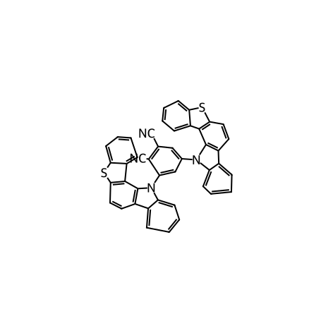 N#Cc1cc(-n2c3ccccc3c3ccc4sc5ccccc5c4c32)cc(-n2c3ccccc3c3ccc4sc5ccccc5c4c32)c1C#N